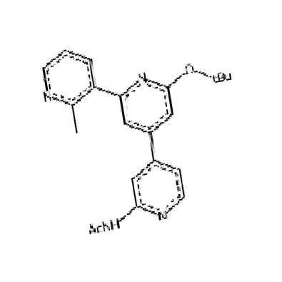 CC(=O)Nc1cc(-c2cc(OC(C)(C)C)nc(-c3cccnc3C)c2)ccn1